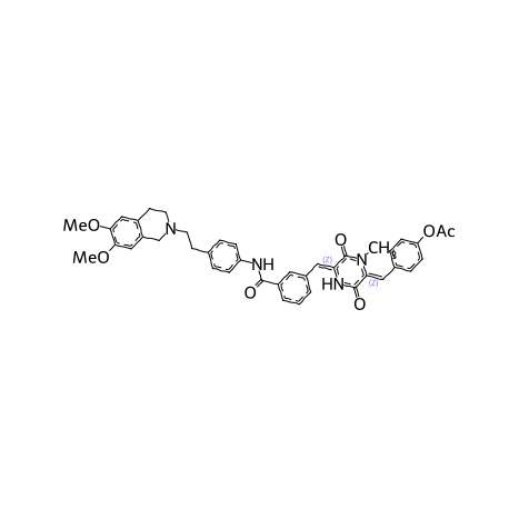 COc1cc2c(cc1OC)CN(CCc1ccc(NC(=O)c3cccc(/C=c4\[nH]c(=O)/c(=C/c5ccc(OC(C)=O)cc5)n(C)c4=O)c3)cc1)CC2